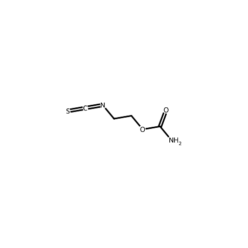 NC(=O)OCCN=C=S